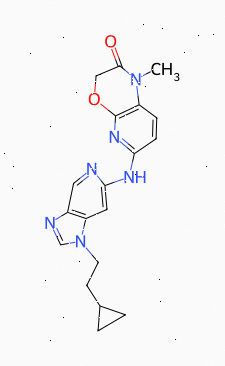 CN1C(=O)COc2nc(Nc3cc4c(cn3)ncn4CCC3CC3)ccc21